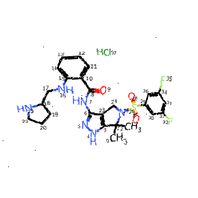 CC1(C)c2[nH]nc(NC(=O)c3ccccc3NCC3CCCN3)c2CN1S(=O)(=O)c1cc(F)cc(F)c1.Cl